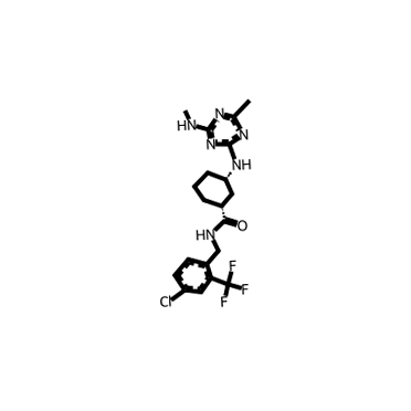 CNc1nc(C)nc(N[C@H]2CCC[C@@H](C(=O)NCc3ccc(Cl)cc3C(F)(F)F)C2)n1